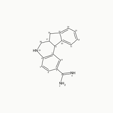 N=C(N)c1ccc2c(c1)C1c3ccccc3CC1CN2